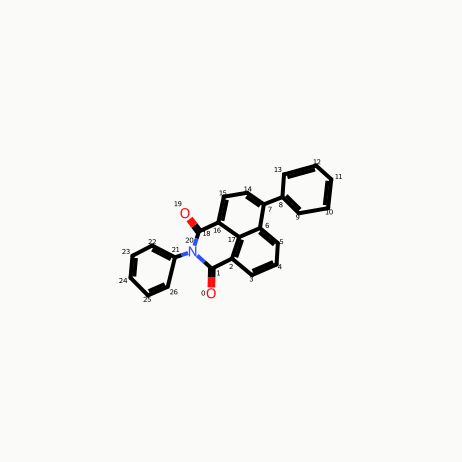 O=C1c2cccc3c(-c4ccccc4)ccc(c23)C(=O)N1c1ccccc1